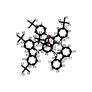 CC(C)(C)c1ccc2c(c1)B1c3c(cc(-n4c5ccccc5c5cccc(-n6c7ccc(C(C)(C)C)cc7c7cc(C(C)(C)C)ccc76)c54)cc3-n3c4ccc(C(C)(C)C)cc4c4cc(C(C)(C)C)cc1c43)O2